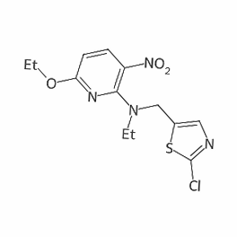 CCOc1ccc([N+](=O)[O-])c(N(CC)Cc2cnc(Cl)s2)n1